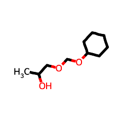 CC(O)COCOC1CCCCC1